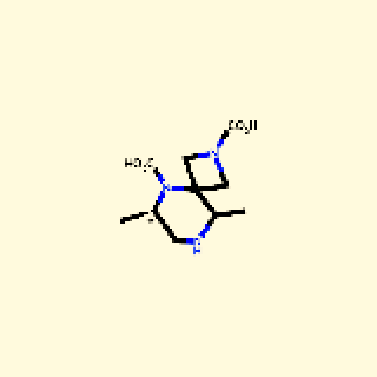 CC1NC[C@@H](C)N(C(=O)O)C12CN(C(=O)O)C2